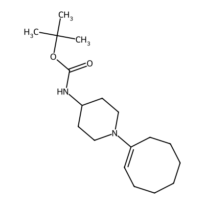 CC(C)(C)OC(=O)NC1CCN(C2=CCCCCCC2)CC1